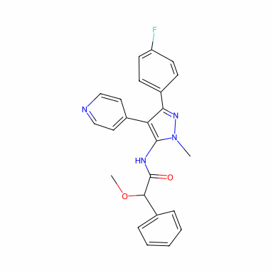 COC(C(=O)Nc1c(-c2ccncc2)c(-c2ccc(F)cc2)nn1C)c1ccccc1